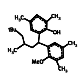 COc1c(C)cc(C)cc1C(CC(C)CC(C)(C)C)c1cc(C)cc(C)c1O